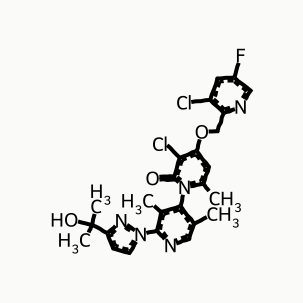 Cc1cnc(-n2ccc(C(C)(C)O)n2)c(C)c1-n1c(C)cc(OCc2ncc(F)cc2Cl)c(Cl)c1=O